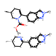 CCn1cc2cc(C3=CC[C@H](C)CN3C(=O)OC(C)(C)C)ccc2n1.CCn1cc2cc(C3=NC[C@@H](C)CC3)ccc2n1